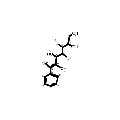 OCC(O)C(O)C(O)C(O)C(O)=C(Cl)c1ccccc1